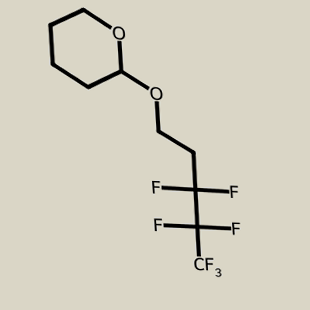 FC(F)(F)C(F)(F)C(F)(F)CCOC1CCCCO1